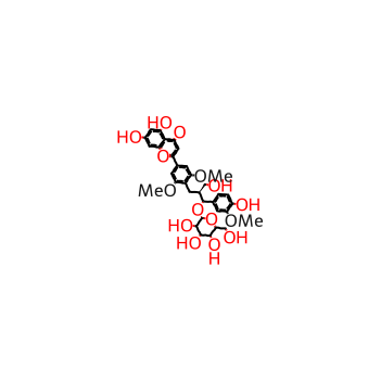 COc1cc(C(O[C@@H]2OC(CO)[C@@H](O)C(O)C2O)[C@H](CO)Cc2c(OC)cc(-c3cc(=O)c4c(O)cc(O)cc4o3)cc2OC)ccc1O